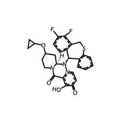 O=C1c2c(O)c(=O)ccn2N([C@@H]2c3ccccc3SCc3c2ccc(F)c3F)[C@@H]2CC(OC3CC3)CCN12